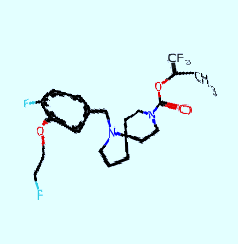 CC(OC(=O)N1CCC2(CCCN2Cc2ccc(F)c(OCCF)c2)CC1)C(F)(F)F